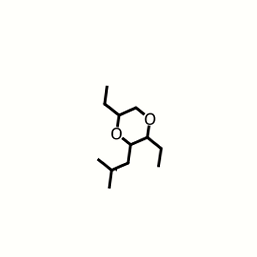 CCC1COC(CC)C(C[C](C)C)O1